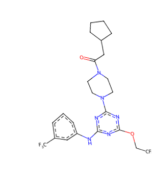 O=C(CC1CCCC1)N1CCN(c2nc(Nc3cccc(C(F)(F)F)c3)nc(OCC(F)(F)F)n2)CC1